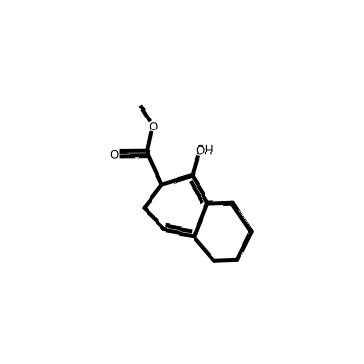 COC(=O)C1CC=C2CCCCC2=C1O